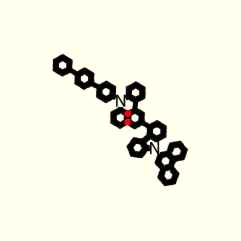 c1ccc(-c2ccc(-c3ccc(N(c4ccccc4)c4ccccc4-c4cccc(-c5cccc6c5c5ccccc5n6-c5cc6ccccc6c6ccccc56)c4)cc3)cc2)cc1